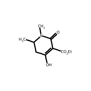 CCOC(=O)C1=C(O)CC(C)N(C)C1=O